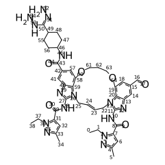 CCn1nc(C)cc1C(=O)Nc1nc2cc(C=O)cc3c2n1C/C=C/Cn1c(NC(=O)c2cc(C)nn2CC)nc2cc(C(=O)NC4CCC(/C(=N/N)NN)CC4)cc(c21)OCCCO3